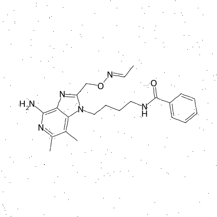 C/C=N/OCc1nc2c(N)nc(C)c(C)c2n1CCCCNC(=O)c1ccccc1